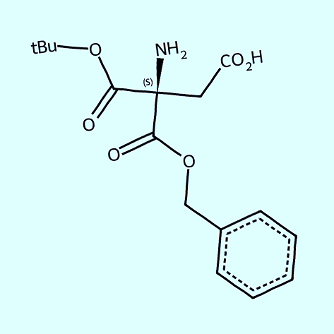 CC(C)(C)OC(=O)[C@](N)(CC(=O)O)C(=O)OCc1ccccc1